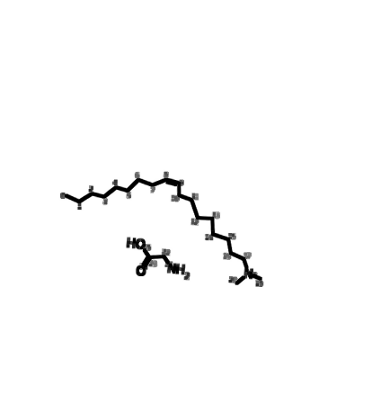 CCCCCCCC/C=C\CCCCCCCCN(C)C.NCC(=O)O